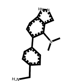 CN(C)c1c(-c2ccc(CN)cc2)ccc2[nH]ncc12